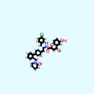 O=C(N[C@H](C=C1CCC(c2ccccc2CN2CCCCC2=O)CC1)Cc1ccc(Cl)cc1)c1cc(=O)c2cc(O)ccc2o1